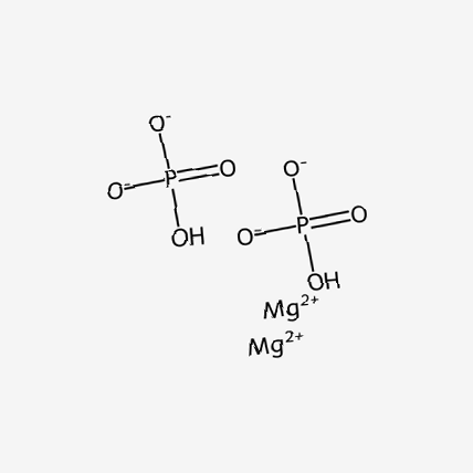 O=P([O-])([O-])O.O=P([O-])([O-])O.[Mg+2].[Mg+2]